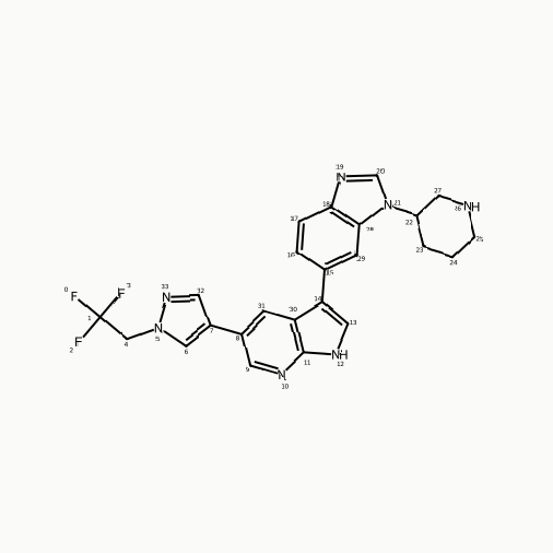 FC(F)(F)Cn1cc(-c2cnc3[nH]cc(-c4ccc5ncn(C6CCCNC6)c5c4)c3c2)cn1